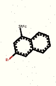 [CH2]Sc1cc(Br)cc2ccccc12